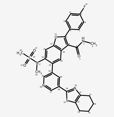 CNC(=O)c1c(-c2ccc(F)cc2)oc2cc(N(C)S(C)(=O)=O)c(-c3cncc(-c4nc5c(s4)CCCC5)c3)cc12